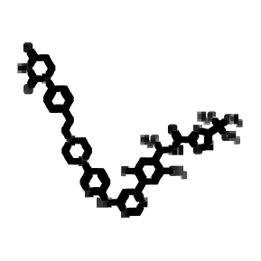 Cc1cc(-c2cc(Nc3ccc(N4CCN(CCc5ccc(N6CCC(=O)NC6=O)cc5)CC4)cn3)ncn2)c(F)cc1[C@@H](C)NC(=O)c1nc(C(C)(C)C)no1